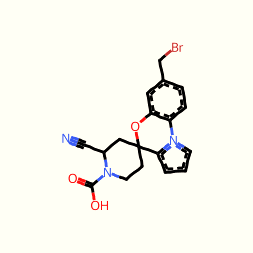 N#CC1CC2(CCN1C(=O)O)Oc1cc(CBr)ccc1-n1cccc12